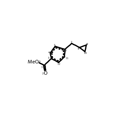 COC(=O)c1ccc(CC2[CH]C2)cc1